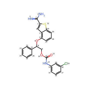 N=C(N)c1cc2c(OC(COC(=O)Nc3cccc(Cl)c3)c3ccccc3)cccc2s1